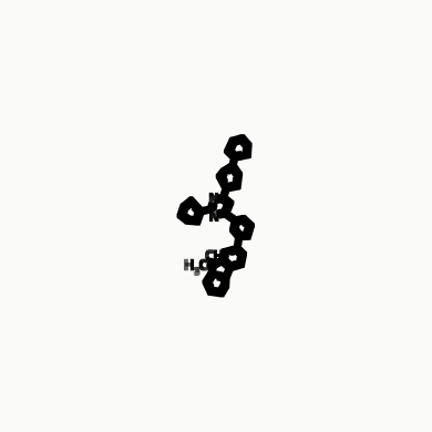 CC1(C)c2ccccc2-c2ccc(-c3cccc(-c4cc(-c5ccc(-c6ccccc6)cc5)nc(-c5ccccc5)n4)c3)cc21